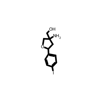 NC1(CO)COC(c2ccc(I)cc2)C1